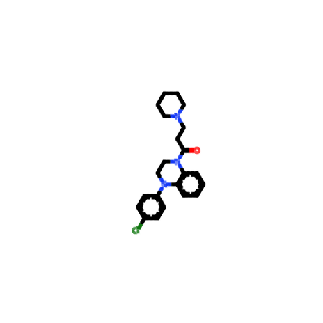 O=C(CCN1CCCCC1)N1CCN(c2ccc(Cl)cc2)c2ccccc21